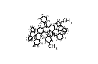 Cc1cc2c3c(c1)N1c4ccccc4C4(C5=CC=C6N(c7ccccc7)c7ccc8c(c7B3C6(C)C51)N2c1ccccc1C81c2ccccc2-c2ccccc21)C1=C(c2ccccc24)C(C)CC=C1